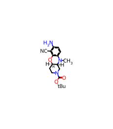 CN1c2ccc(N)c(C#N)c2O[C@@H]2CCN(C(=O)OC(C)(C)C)C[C@@H]21